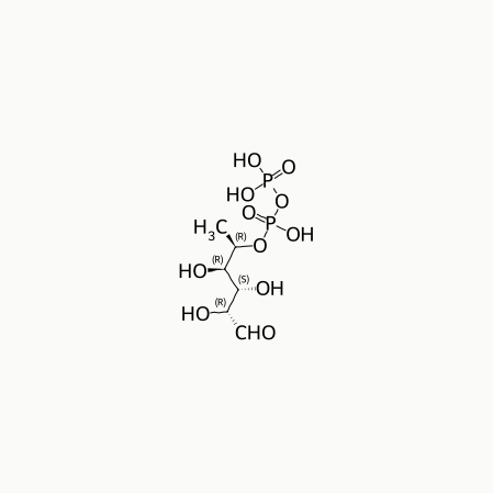 C[C@@H](OP(=O)(O)OP(=O)(O)O)[C@H](O)[C@H](O)[C@@H](O)C=O